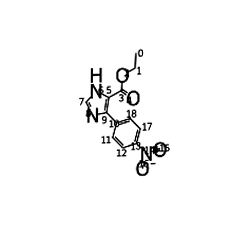 CCOC(=O)c1[nH]cnc1-c1ccc([N+](=O)[O-])cc1